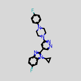 Fc1ccc(N2CCN(c3cc(-c4nc5ccc(F)cc5n4C4CC4)cnn3)CC2)cc1